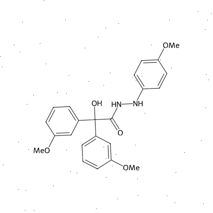 COc1ccc(NNC(=O)C(O)(c2cccc(OC)c2)c2cccc(OC)c2)cc1